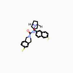 O=C(NC1C[C@H]2CC[C@H](C1)N2Cc1ccc2cc(F)ccc2c1)N1CCc2cc(F)ccc2C1